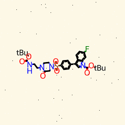 CC(C)(C)OC(=O)NCCN1CCN(S(=O)(=O)c2ccc(-c3cn(C(=O)OC(C)(C)C)c4cc(F)ccc34)cc2)CC1=O